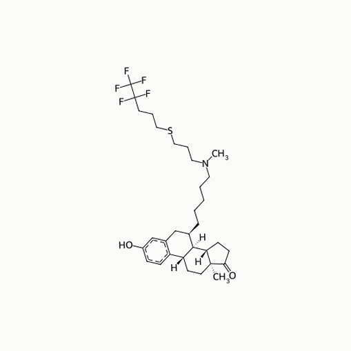 CN(CCCCC[C@@H]1Cc2cc(O)ccc2[C@H]2CC[C@]3(C)C(=O)CC[C@H]3[C@H]12)CCCSCCCC(F)(F)C(F)(F)F